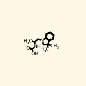 CC(CN1CC(C)(C)c2ccccc21)NC(=O)O